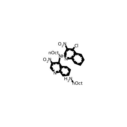 CCCCCCCCN.CCCCCCCCNc1c([N+](=O)[O-])cnc2ccccc12.O=[N+]([O-])c1cnc2ccccc2c1Cl